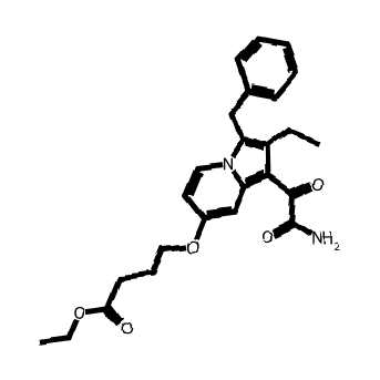 CCOC(=O)CCCOc1ccn2c(Cc3ccccc3)c(CC)c(C(=O)C(N)=O)c2c1